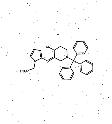 CCOC(=O)Cn1cccc1C=C1CN(C(c2ccccc2)(c2ccccc2)c2ccccc2)CCC1O